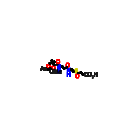 COC1(CC(C)=O)OCC(C)(C)[C@H](C(=O)NCCC(=O)NCCSC(=O)CCC(=O)O)O1